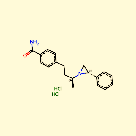 C[C@@H](CCc1ccc(C(N)=O)cc1)N1C[C@@H]1c1ccccc1.Cl.Cl